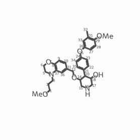 COCCCN1CCOc2ccc(COC3CNCC(O)C3c3ccc(Oc4ccc(OC)c(C)c4)cc3)cc21